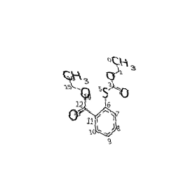 CCOC(=O)Sc1ccccc1C(=O)OCC